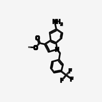 COC(=O)c1cn(Cc2cccc(C(F)(F)F)c2)c2ccc(N)cc12